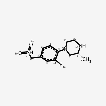 C[C@@H]1CN(c2ccc(C[SH](=O)=O)cc2F)CCN1